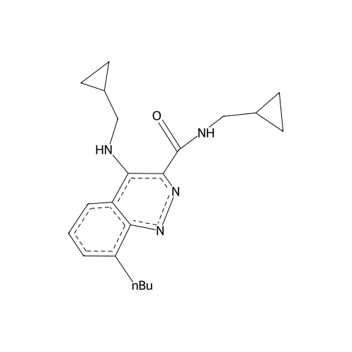 CCCCc1cccc2c(NCC3CC3)c(C(=O)NCC3CC3)nnc12